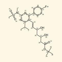 CC(C)c1nc(N(C)S(C)(=O)=O)nc(-c2ccc(F)cc2)c1/C=C/C(O)CC(O)CC(=O)OC(C)(C)C